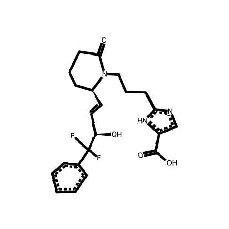 O=C(O)c1cnc(CCCN2C(=O)CCC[C@@H]2C=C[C@@H](O)C(F)(F)c2ccccc2)[nH]1